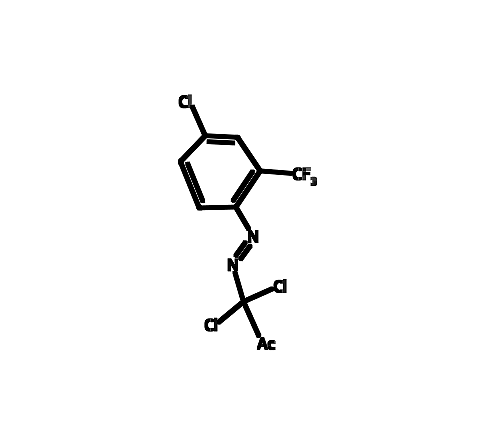 CC(=O)C(Cl)(Cl)N=Nc1ccc(Cl)cc1C(F)(F)F